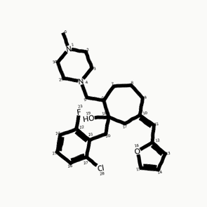 CN1CCN(CC2CCCC(=Cc3ccco3)CC2(O)Cc2c(F)cccc2Cl)CC1